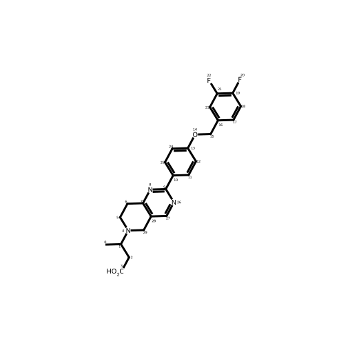 CC(CC(=O)O)N1CCc2nc(-c3ccc(OCc4ccc(F)c(F)c4)cc3)ncc2C1